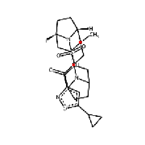 COCCN1C2CCC1CN(S(=O)(=O)N1[C@@H]3CC[C@H]1C[C@@H](NC(=O)c1cc(C4CC4)on1)C3)C2